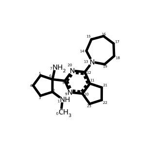 CNC1CCCC1(N)c1nc2c(c(N3CCCCCC3)n1)CCC2